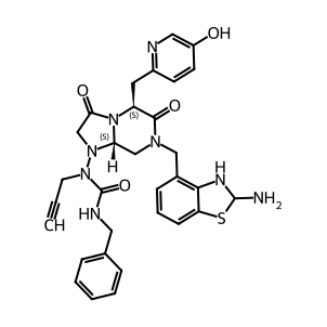 C#CCN(C(=O)NCc1ccccc1)N1CC(=O)N2[C@@H](Cc3ccc(O)cn3)C(=O)N(Cc3cccc4c3NC(N)S4)C[C@@H]21